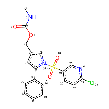 CNC(=O)OCc1cc(-c2ccccc2)n(S(=O)(=O)c2ccc(Cl)nc2)c1